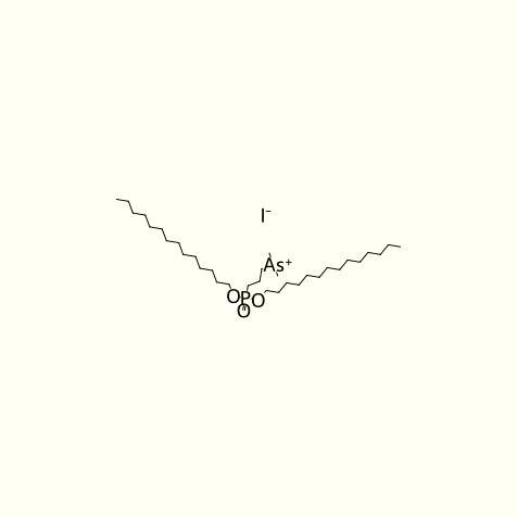 CCCCCCCCCCCCCCOP(=O)(CCC[As+](C)(C)C)OCCCCCCCCCCCCCC.[I-]